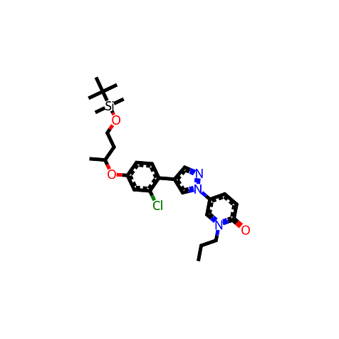 CCCn1cc(-n2cc(-c3ccc(OC(C)CCO[Si](C)(C)C(C)(C)C)cc3Cl)cn2)ccc1=O